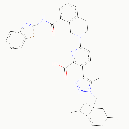 Cc1c(-c2ccc(N3CCc4cccc(C(=O)Nc5nc6ccccc6s5)c4C3)nc2C(=O)O)nnn1CC12CC(C)CC=C1C(C)C2